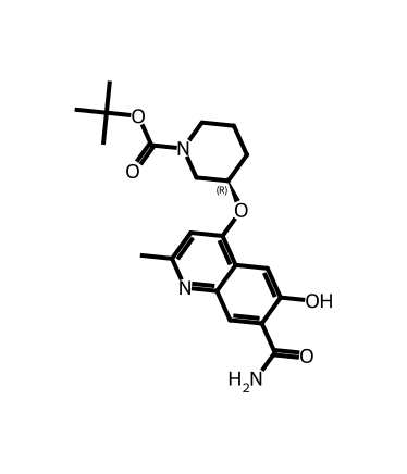 Cc1cc(O[C@@H]2CCCN(C(=O)OC(C)(C)C)C2)c2cc(O)c(C(N)=O)cc2n1